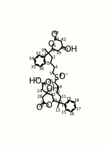 CC(CCCC[S+]([O-])CCCCC(C)(c1ccccc1)C1CC(O)(CC(=O)O)CC(=O)O1)(c1ccccc1)C1C[C](O)CC(=O)O1